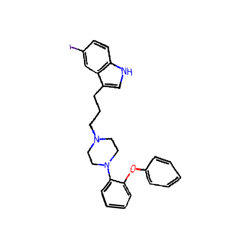 Ic1ccc2[nH]cc(CCCN3CCN(c4ccccc4Oc4ccccc4)CC3)c2c1